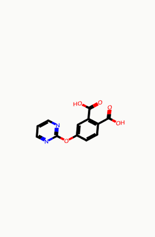 O=C(O)c1ccc(Oc2ncccn2)cc1C(=O)O